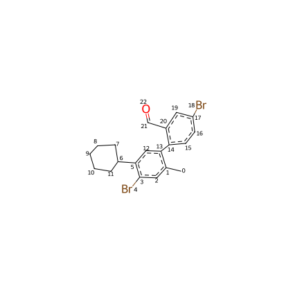 Cc1cc(Br)c(C2CCCCC2)cc1-c1ccc(Br)cc1C=O